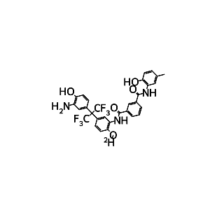 [2H]Oc1ccc(C(c2ccc(O)c(N)c2)(C(F)(F)F)C(F)(F)F)cc1NC(=O)c1cccc(C(=O)Nc2cc(C)ccc2O)c1